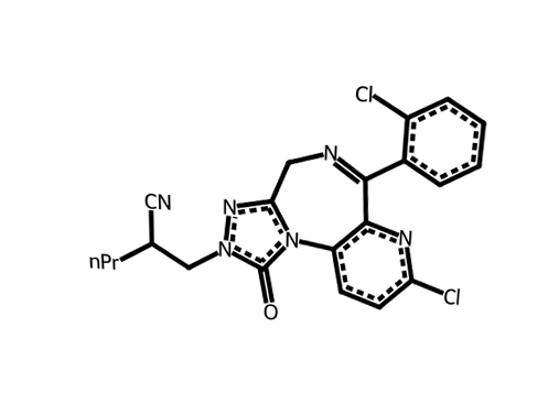 CCCC(C#N)Cn1nc2n(c1=O)-c1ccc(Cl)nc1C(c1ccccc1Cl)=NC2